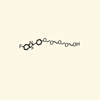 OCCOCCOCCOCCOc1ccc(-c2nc3cc(F)ccc3s2)cc1